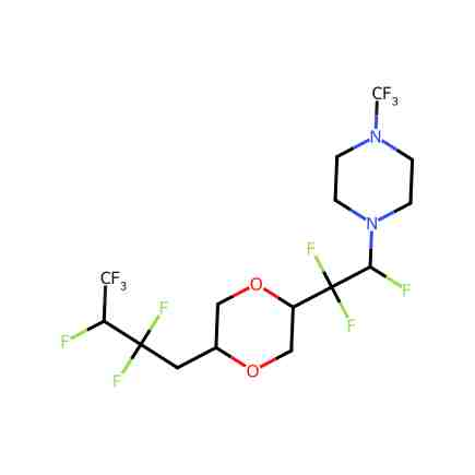 FC(C(F)(F)F)C(F)(F)CC1COC(C(F)(F)C(F)N2CCN(C(F)(F)F)CC2)CO1